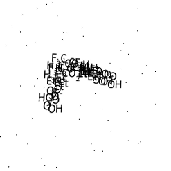 CC(C(=O)O)C(F)(F)F.CC(C(=O)O)C(F)(F)F.CC(C(=O)O)C(F)(F)F.CC[N+](CC)(CC)CC.CC[N+](CC)(CC)CC.CC[N+](CC)(CC)CC.O=C(O)C(=O)O.O=C(O)C(=O)O.O=C(O)C(=O)O.[O-]B([O-])[O-]